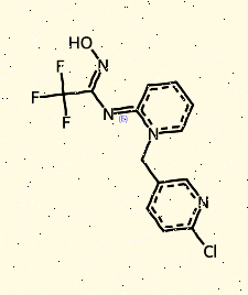 ON=C(/N=c1\ccccn1Cc1ccc(Cl)nc1)C(F)(F)F